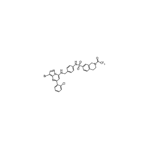 O=C(N1CCc2ccc(S(=O)(=O)Nc3ccc(CNc4cc(-c5ccccc5Cl)nc5c(Br)cnn45)cc3)cc2C1)C(F)(F)F